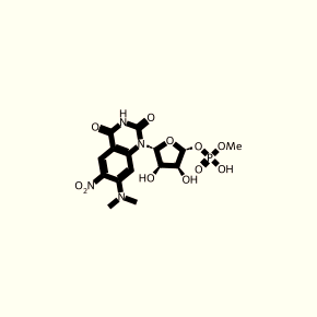 COP(=O)(O)O[C@H]1O[C@@H](n2c(=O)[nH]c(=O)c3cc([N+](=O)[O-])c(N(C)C)cc32)[C@H](O)[C@@H]1O